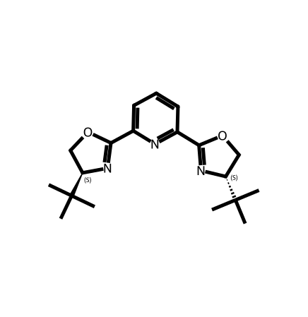 CC(C)(C)[C@H]1COC(c2cccc(C3=N[C@@H](C(C)(C)C)CO3)n2)=N1